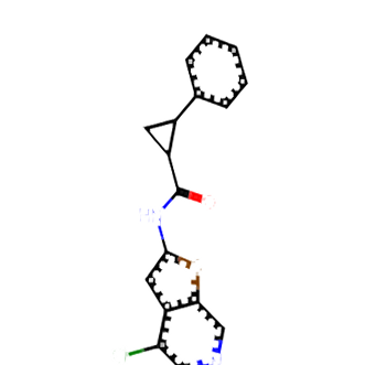 O=C(Nc1cc2c(Cl)cncc2s1)C1CC1c1ccccc1